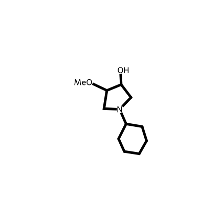 COC1CN(C2CCCCC2)CC1O